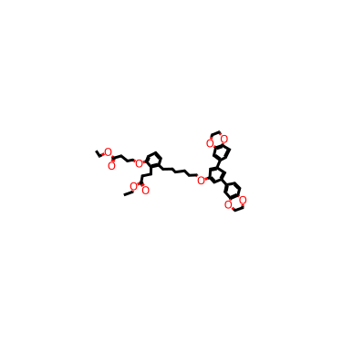 CCOC(=O)CCCOc1cccc(CCCCCCOc2cc(-c3ccc4c(c3)OCCO4)cc(-c3ccc4c(c3)OCCO4)c2)c1CCC(=O)OCC